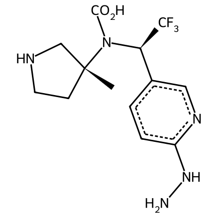 C[C@@]1(N(C(=O)O)[C@H](c2ccc(NN)nc2)C(F)(F)F)CCNC1